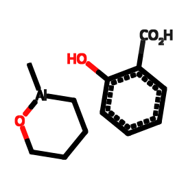 O=C(O)c1ccccc1O.[CH3][Al]1[CH2]CCC[O]1